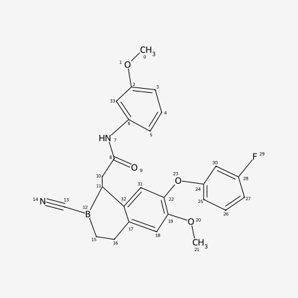 COc1cccc(NC(=O)CC2B(C#N)CCc3cc(OC)c(Oc4cccc(F)c4)cc32)c1